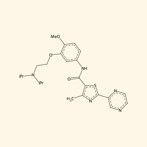 COc1ccc(NC(=O)c2sc(-c3cnccn3)nc2C)cc1OCCN(C(C)C)C(C)C